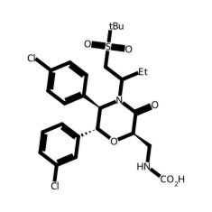 CCC(CS(=O)(=O)C(C)(C)C)N1C(=O)[C@@H](CNC(=O)O)O[C@H](c2cccc(Cl)c2)[C@H]1c1ccc(Cl)cc1